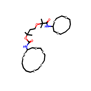 CC(C)(CCOC(C)(C)C(=O)NC1CCCCCCCCCCC1)OC(=O)NC1CCCCCCCCCCCCCCC1